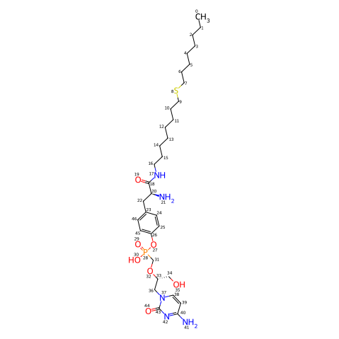 CCCCCCCCSCCCCCCCCNC(=O)[C@@H](N)Cc1ccc(OP(=O)(O)CO[C@H](CO)Cn2ccc(N)nc2=O)cc1